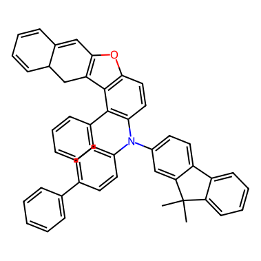 CC1(C)c2ccccc2-c2ccc(N(c3ccc(-c4ccccc4)cc3)c3ccc4oc5c(c4c3-c3ccccc3)CC3C=CC=CC3=C5)cc21